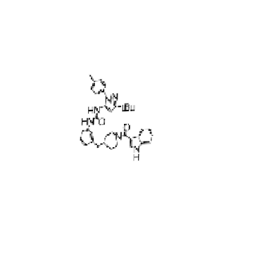 Cc1ccc(-n2nc(C(C)(C)C)cc2NC(=O)Nc2cccc(CC3CCN(C(=O)c4c[nH]c5ccccc45)CC3)c2)cc1